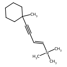 CC1(C#C/C=C/[Si](C)(C)C)CCCCC1